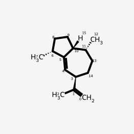 C=C(C)[C@H]1C=C2[C@H](C)CC[C@@H]2[C@H](C)CC1